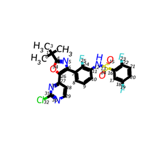 CC(C)(C)c1nc(-c2cccc(NS(=O)(=O)c3cc(F)ccc3F)c2F)c(-c2ccnc(Cl)n2)o1